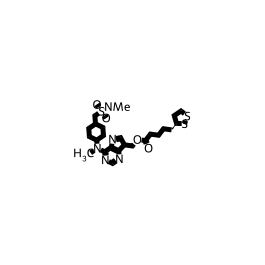 CNS(=O)(=O)CC1CCC(N(C)c2ncnc3c2N=CC3COC(=O)CCCC[C@@H]2CCSS2)CC1